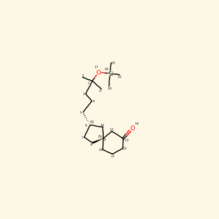 CC(C)(CCC[C@H]1CC[C@@]2(CCCC(=O)C2)C1)O[Si](C)(C)C